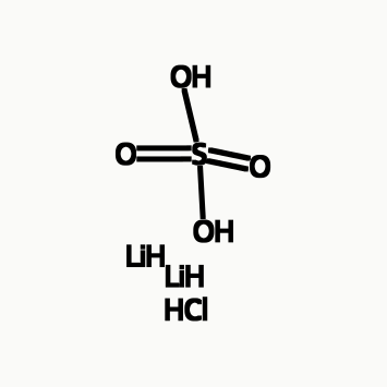 Cl.O=S(=O)(O)O.[LiH].[LiH]